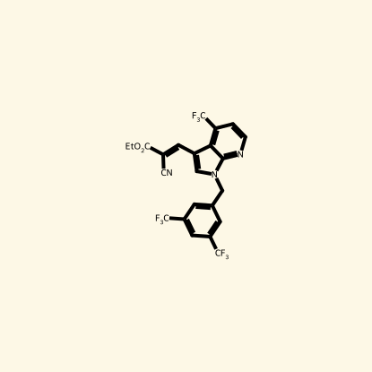 CCOC(=O)/C(C#N)=C/c1cn(Cc2cc(C(F)(F)F)cc(C(F)(F)F)c2)c2nccc(C(F)(F)F)c12